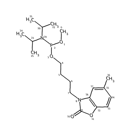 COP(OCCCCn1c(=O)oc2ccc(C)cc21)N(C(C)C)C(C)C